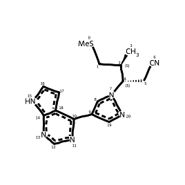 CSC[C@@H](C)[C@H](CC#N)n1cc(-c2ncnc3[nH]ccc23)cn1